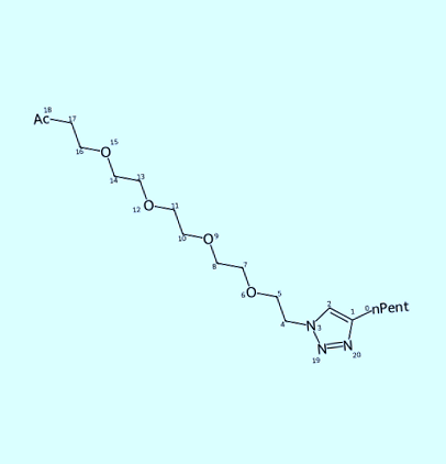 CCCCCc1cn(CCOCCOCCOCCOCCC(C)=O)nn1